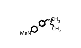 C=CCN(C)Cc1ccc([C@H]2CC[C@H](NC)CC2)cc1